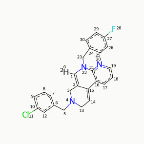 [2H]C1=C2CN(Cc3cccc(Cl)c3)CC=C2c2cccnc2N1Cc1ccc(F)cc1